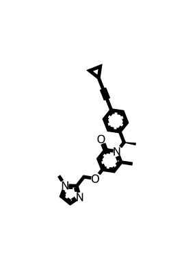 Cc1cc(OCc2nccn2C)cc(=O)n1[C@H](C)c1ccc(C#CC2CC2)cc1